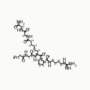 CC(C)CC(=O)NCC(=O)N[C@@H](CSCCCC(=O)NCC(=O)NCC(N)=O)C(=O)N1CSC[C@H]1C(=O)NCCCCNC(=N)N